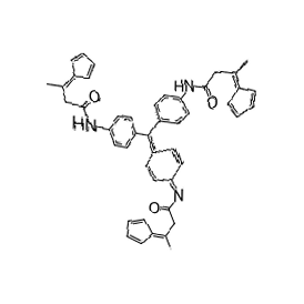 CC(CC(=O)N=C1C=CC(=C(c2ccc(NC(=O)CC(C)=C3C=CC=C3)cc2)c2ccc(NC(=O)CC(C)=C3C=CC=C3)cc2)C=C1)=C1C=CC=C1